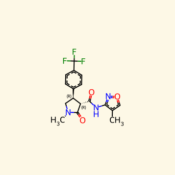 Cc1conc1NC(=O)[C@@H]1C(=O)N(C)C[C@H]1c1ccc(C(F)(F)F)cc1